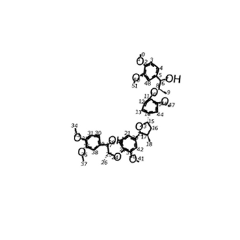 COc1ccc([C@@H](O)[C@@H](C)Oc2ccc([C@@H]3C[C@@H](C)[C@@H](c4ccc(O[C@H](C)[C@H](O)c5ccc(OC)c(OC)c5)c(OC)c4)O3)cc2OC)cc1OC